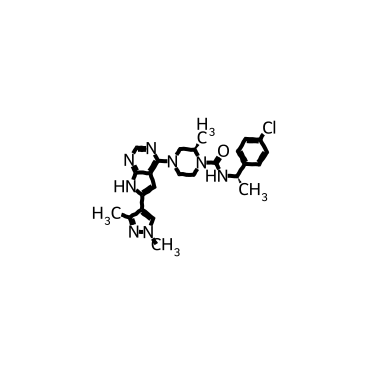 Cc1nn(C)cc1-c1cc2c(N3CCN(C(=O)N[C@@H](C)c4ccc(Cl)cc4)[C@H](C)C3)ncnc2[nH]1